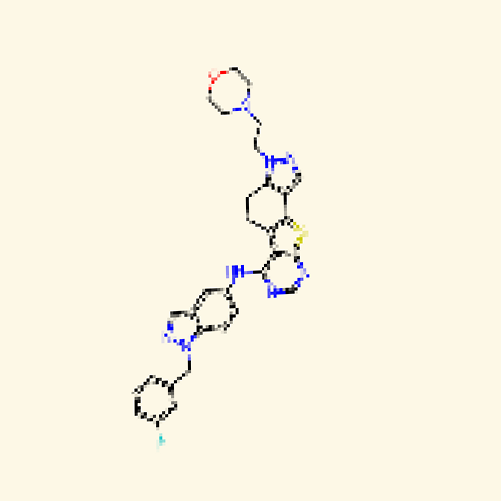 Fc1cccc(Cn2ncc3cc(Nc4ncnc5sc6c(c45)CCc4c-6cnn4CCN4CCOCC4)ccc32)c1